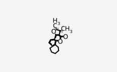 C[C@@H]1c2c(c3ccc4c(c3oc2=O)CCCCC4)O[C@@H]1C